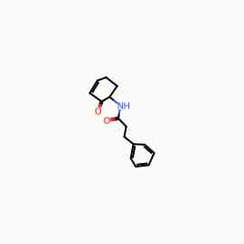 O=C(CCc1ccccc1)NC1CCC=CC1=O